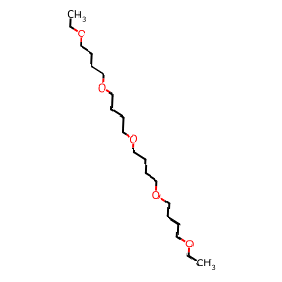 CCOCCCCOCCCCOCCCCOCCCCOCC